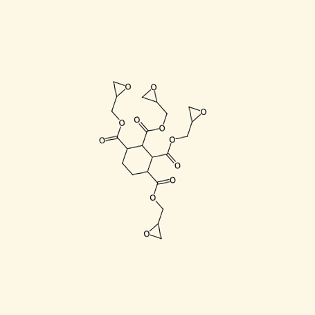 O=C(OCC1CO1)C1CCC(C(=O)OCC2CO2)C(C(=O)OCC2CO2)C1C(=O)OCC1CO1